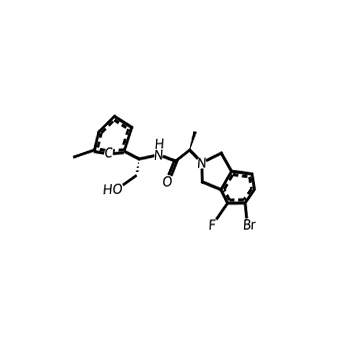 Cc1cccc([C@@H](CO)NC(=O)[C@@H](C)N2Cc3ccc(Br)c(F)c3C2)c1